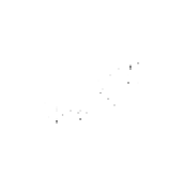 c1ccc(-n2c3ccccc3c3cc(-c4cccc(-c5ccc6c(c5)c5ccccc5n6-c5ccc6oc7ccc(-n8c9ccccc9c9ccccc98)cc7c6c5)c4)ccc32)cc1